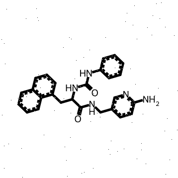 Nc1ccc(CNC(=O)C(Cc2cccc3ccccc23)NC(=O)Nc2ccccc2)cn1